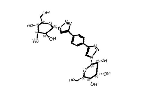 OC[C@H]1O[C@H](n2cc(-c3ccc(-c4cn([C@H]5O[C@H](CO)[C@@H](O)[C@H](O)[C@@H]5O)nn4)cc3)nn2)[C@H](O)[C@H](O)[C@@H]1O